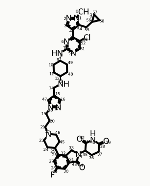 Cn1ncc(-c2nc(N[C@H]3CC[C@H](NCc4cnn(CCCN5CCC(c6cc(F)cc7c6CN(C6CCC(=O)NC6=O)C7=O)CC5)c4)CC3)ncc2Cl)c1CC1CC1